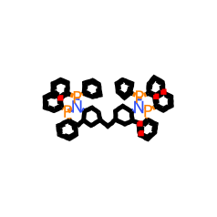 C=CC1CC(CC2CCC(N(P(c3ccccc3)c3ccccc3)P(c3ccccc3)c3ccccc3)C(C)C2)CCC1N(P(c1ccccc1)c1ccccc1)P(c1ccccc1)c1ccccc1